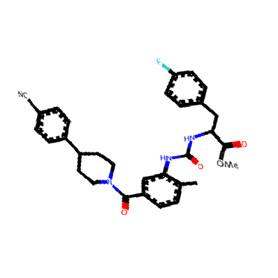 COC(=O)C(Cc1ccc(F)cc1)NC(=O)Nc1cc(C(=O)N2CCC(c3ccc(C#N)cc3)CC2)ccc1C